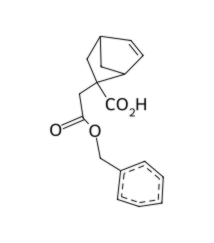 O=C(CC1(C(=O)O)CC2C=CC1C2)OCc1ccccc1